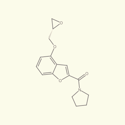 O=C(c1cc2c(OC[C@@H]3CO3)cccc2o1)N1CCCC1